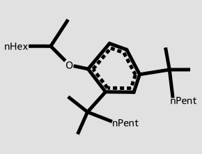 CCCCCCC(C)Oc1ccc(C(C)(C)CCCCC)cc1C(C)(C)CCCCC